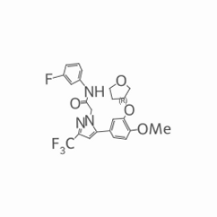 COc1ccc(-c2cc(C(F)(F)F)nn2CC(=O)Nc2cccc(F)c2)cc1O[C@@H]1CCOC1